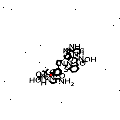 CC(C)[C@H](NC(=O)O)C(=O)N1CCC[C@@]1(C(N)=O)c1ccc([C@H]2CC[C@H](c3ccc([C@]4(C(N)=O)CCCN4C(=O)[C@@H](NC(=O)O)C(C)C)c(N)c3)N2c2nc3c(s2)CCCC3)cc1N